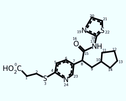 O=C(O)CCSc1ccc(C(CC2CCCC2)C(=O)Nc2nccs2)cn1